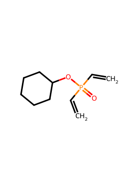 C=CP(=O)(C=C)OC1CCCCC1